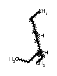 CCCCCCCC/C=C\CCCCCCCC(=O)OC(CCCCCCCC(=O)OCC(O)COC(=O)CCCCCCCC1OC1CCCCCCCC)C(O)CC1OC1CCCCC